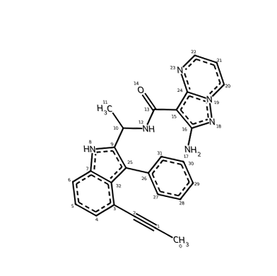 CC#Cc1cccc2[nH]c(C(C)NC(=O)c3c(N)nn4cccnc34)c(-c3ccccc3)c12